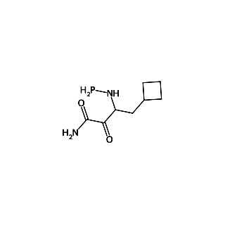 NC(=O)C(=O)C(CC1CCC1)NP